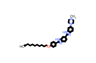 C#CCCCCCCCCCOc1ccc(-c2nc3ccc(-c4nc5ccc(N6CCN(C)CC6)cc5[nH]4)cc3[nH]2)cc1